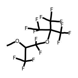 COC(C(F)(F)F)C(F)(F)OC(C(F)(F)F)(C(F)(F)F)C(F)(F)F